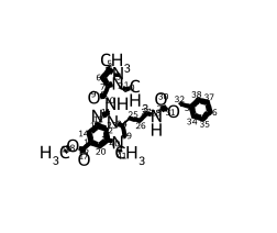 CCn1nc(C)cc1C(=O)Nc1nc2cc(C(=O)OC)cc3c2n1[C@@H](CCCNC(=O)OCc1ccccc1)CN3C